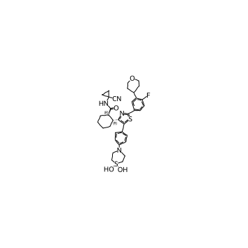 N#CC1(NC(=O)[C@@H]2CCCC[C@H]2c2nc(-c3ccc(F)c(C4CCOCC4)c3)sc2-c2ccc(N3CCS(O)(O)CC3)cc2)CC1